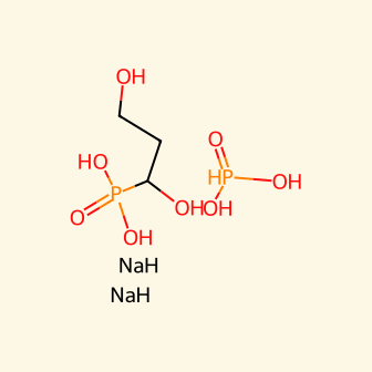 O=P(O)(O)C(O)CCO.O=[PH](O)O.[NaH].[NaH]